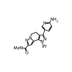 CNC(=O)c1cc2n(n1)CCc1c(-c3ccc(N)nc3)nn(C(C)C)c1-2